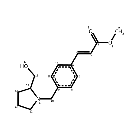 COC(=O)C=Cc1ccc(CN2CCCC2CO)cc1